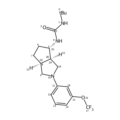 CC(C)(C)NC(=O)N[C@H]1CC[C@@H]2CN(c3cccc(OC(F)(F)F)c3)C[C@@H]21